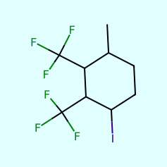 CC1CCC(I)C(C(F)(F)F)C1C(F)(F)F